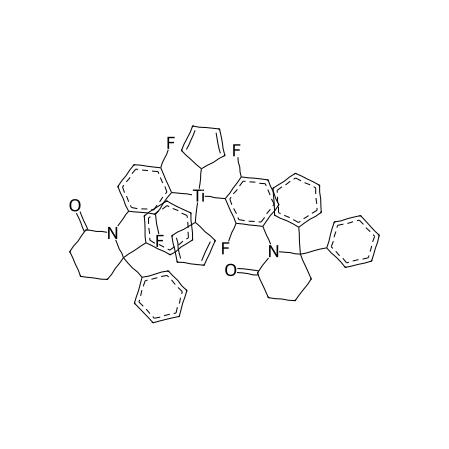 O=C1CCCC(c2ccccc2)(c2ccccc2)N1c1ccc(F)[c]([Ti]([c]2c(F)ccc(N3C(=O)CCCC3(c3ccccc3)c3ccccc3)c2F)([CH]2C=CC=C2)[CH]2C=CC=C2)c1F